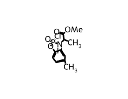 COC(=O)C(C)NP(=O)(Cl)Oc1ccc(C)cc1